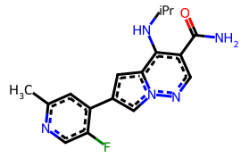 Cc1cc(-c2cc3c(NC(C)C)c(C(N)=O)cnn3c2)c(F)cn1